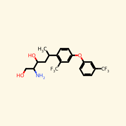 CC(CC(O)C(N)CO)c1ccc(Oc2cccc(C(F)(F)F)c2)cc1C(F)(F)F